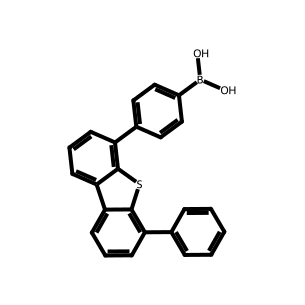 OB(O)c1ccc(-c2cccc3c2sc2c(-c4ccccc4)cccc23)cc1